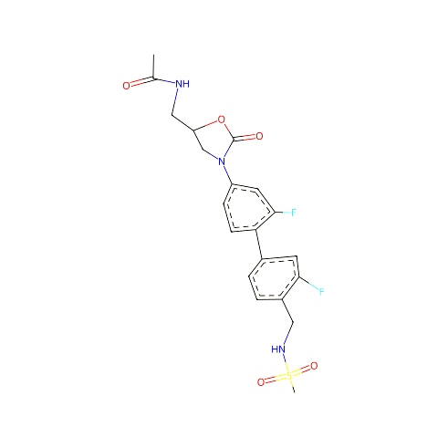 CC(=O)NCC1CN(c2ccc(-c3ccc(CNS(C)(=O)=O)c(F)c3)c(F)c2)C(=O)O1